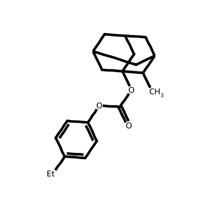 CCc1ccc(OC(=O)OC23CC4CC(CC(C4)C2C)C3)cc1